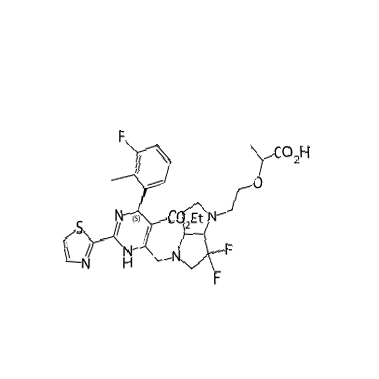 CCOC(=O)C1=C(CN2CC(F)(F)C3C2CCN3CCOC(C)C(=O)O)NC(c2nccs2)=N[C@H]1c1cccc(F)c1C